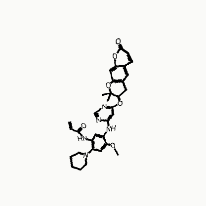 C=CC(=O)Nc1cc(Nc2cc(OC3Cc4cc5ccc(=O)oc5cc4OC3(C)C)ncn2)c(OC)cc1N1CCCCC1